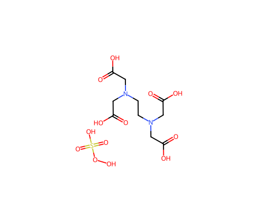 O=C(O)CN(CCN(CC(=O)O)CC(=O)O)CC(=O)O.O=S(=O)(O)OO